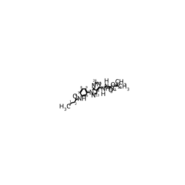 CCCC(=O)Nc1cccc(-n2ncc3c(NNC(=O)OC(C)(C)C)ncnc32)c1